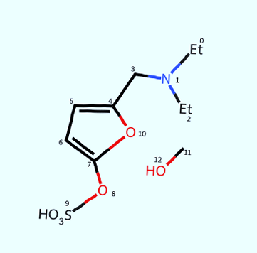 CCN(CC)Cc1ccc(OS(=O)(=O)O)o1.CO